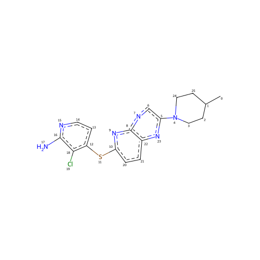 CC1CCN(c2cnc3nc(Sc4ccnc(N)c4Cl)ccc3n2)CC1